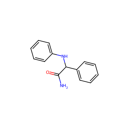 NC(=O)C(Nc1ccccc1)c1ccccc1